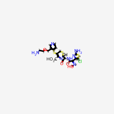 NCCOCc1cnccc1SC1=C(C(=O)O)N2C(=O)[C@@H](NC(=O)/C(=N\O)c3nc(N)sc3Cl)[C@@H]2SC1